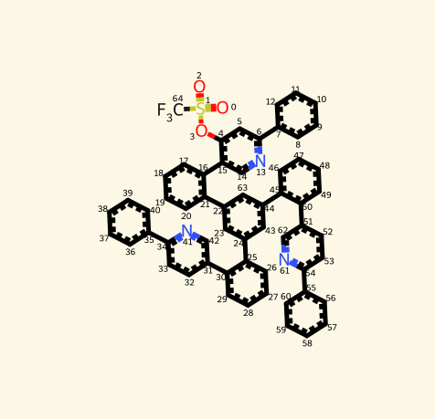 O=S(=O)(Oc1cc(-c2ccccc2)ncc1-c1ccccc1-c1cc(-c2ccccc2-c2ccc(-c3ccccc3)nc2)cc(-c2ccccc2-c2ccc(-c3ccccc3)nc2)c1)C(F)(F)F